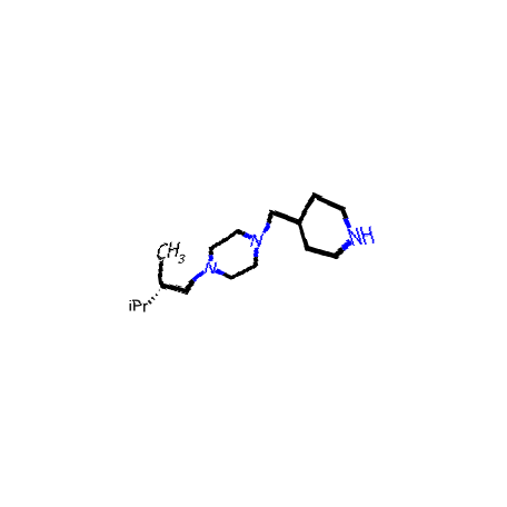 CC(C)[C@H](C)CN1CCN(CC2CCNCC2)CC1